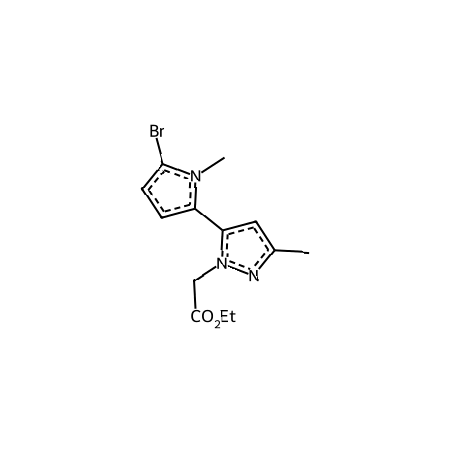 CCOC(=O)Cn1nc(C)cc1-c1ccc(Br)n1C